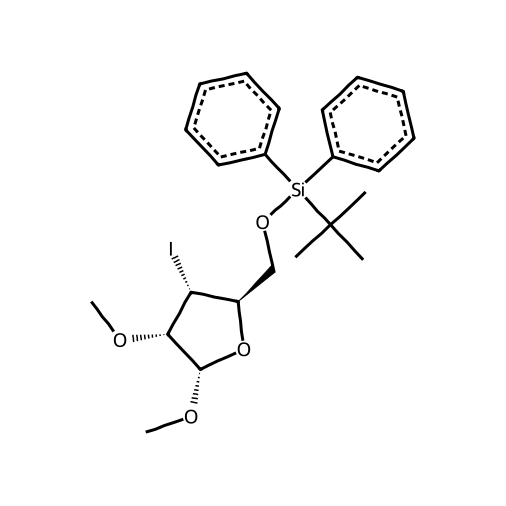 CO[C@H]1O[C@H](CO[Si](c2ccccc2)(c2ccccc2)C(C)(C)C)[C@@H](I)[C@H]1OC